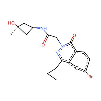 C[C@]1(O)C[C@@H](NC(=O)Cn2nc(C3CC3)c3cc(Br)ccc3c2=O)C1